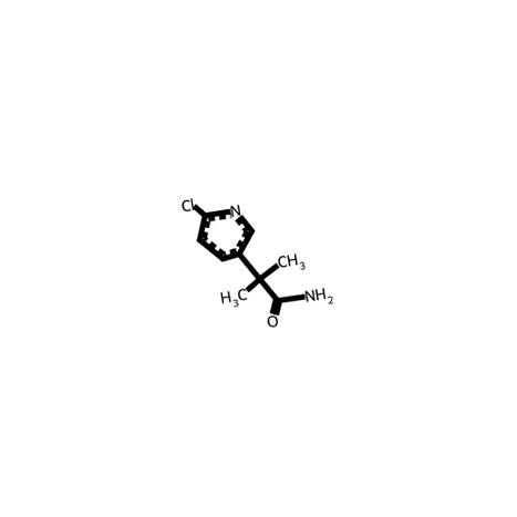 CC(C)(C(N)=O)c1ccc(Cl)nc1